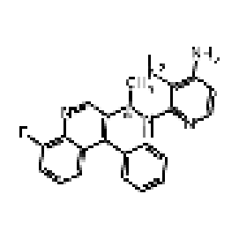 C[C@@H](Nc1ncnc(N)c1N)c1cnc2c(F)cccc2c1-c1ccccc1